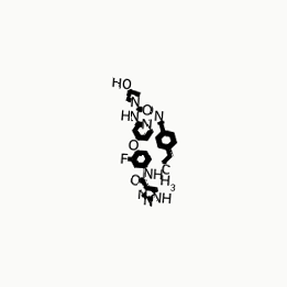 CCCc1ccc(C#N)cc1.O=C(Nc1ccc(Oc2ccnc(NC(=O)N3CC(O)C3)c2)c(F)c1)c1c[nH]nn1